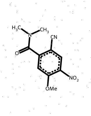 COc1cc(C(=O)N(C)C)c(C#N)cc1[N+](=O)[O-]